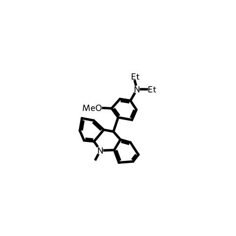 CCN(CC)c1ccc(C2c3ccccc3N(C)c3ccccc32)c(OC)c1